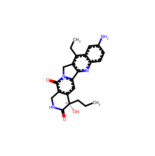 CCC[C@@]1(O)C(=O)NCc2c1cc1n(c2=O)Cc2c-1nc1ccc(N)cc1c2CC